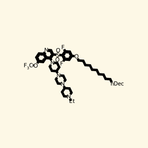 CCCCCCCCCCCCCCCCCCCCOc1cc(F)c(S(=O)(=O)c2cnc3ccc(OC(F)(F)F)cc3c2N2CCC(N3CCN(C4CCN(CC)CC4)CC3)CC2)c(F)c1